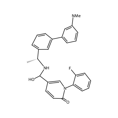 CNc1cccc(-c2cccc([C@@H](C)NC(O)c3ccc(=O)n(-c4ccccc4F)c3)c2)c1